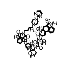 CC(C)C[C@H]1C(=O)N2CCC[C@H]2[C@]2(O)O[C@](NC(=O)[C@@H]3C=C4c5cccc6[nH]c(Br)c(c56)C[C@H]4N(C)C3)(C(C)C)C(=O)N12.O=C1[C@@H]2[C@H]3CC[C@H](C3)[C@@H]2C(=O)N1CCCCN1CCN(c2ncccn2)CC1